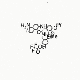 CCOc1cc(C(Nc2ccc3c(N)nccc3c2)C(=O)NCc2ccccc2SC)ccc1OC(C)C.O=C(O)C(F)(F)F